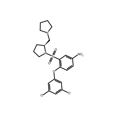 O=[N+]([O-])c1ccc(Oc2cc(Cl)cc(Cl)c2)c(S(=O)(=O)N2CCC[C@H]2CN2CCCC2)c1